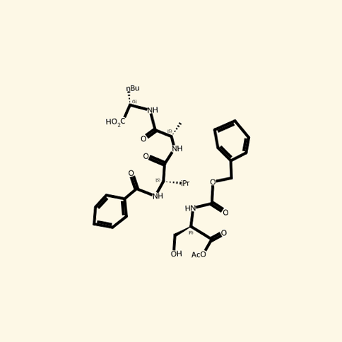 CC(=O)OC(=O)[C@@H](CO)NC(=O)OCc1ccccc1.CCCC[C@H](NC(=O)[C@H](C)NC(=O)[C@@H](NC(=O)c1ccccc1)C(C)C)C(=O)O